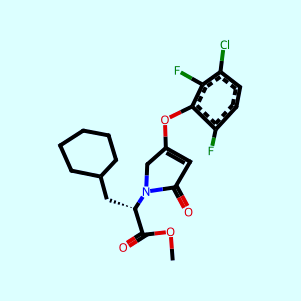 COC(=O)[C@H](CC1CCCCC1)N1CC(Oc2c(F)ccc(Cl)c2F)=CC1=O